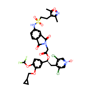 Cc1noc(C)c1CCS(=O)(=O)Nc1ccc2c(c1)C(=O)N(CC(=O)O[C@@H](Cc1c(Cl)c[n+]([O-])cc1Cl)c1ccc(OC(F)F)c(OCC3CC3)c1)C2=O